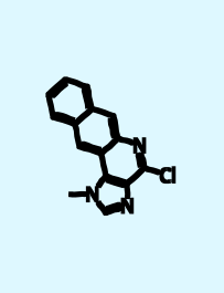 Cn1cnc2c(Cl)nc3cc4ccccc4cc3c21